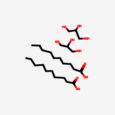 CCCCCCCCCC(=O)O.CCCCCCCCCC(=O)O.OCC(O)CO.OCC(O)CO